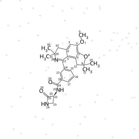 COc1cc2c(c3c1OC(C)(C)C3)C(c1cccc(C(=O)N[C@H]3CNC3=O)c1)=NC(C)(C)C2